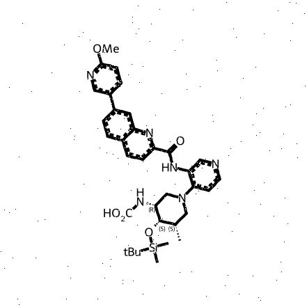 COc1ccc(-c2ccc3ccc(C(=O)Nc4cnccc4N4C[C@H](C)[C@H](O[Si](C)(C)C(C)(C)C)[C@H](NC(=O)O)C4)nc3c2)cn1